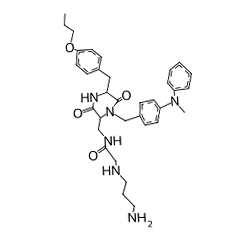 CCCOc1ccc(CC2NC(=O)C(CNC(=O)CNCCCN)N(Cc3ccc(N(C)c4ccccc4)cc3)C2=O)cc1